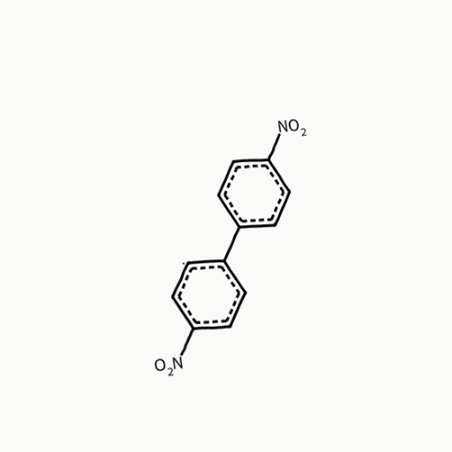 O=[N+]([O-])c1c[c]c(-c2ccc([N+](=O)[O-])cc2)cc1